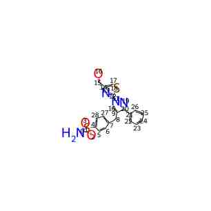 NS(=O)(=O)c1ccc(Cc2cn(-c3nc(C=O)cs3)nc2-c2ccccc2)cc1